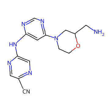 N#Cc1cnc(Nc2cc(N3CCOC(CN)C3)ncn2)cn1